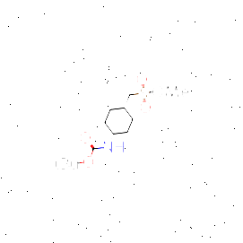 COS(=O)(=O)C[C@H]1CC[C@H](NC(=O)OC(C)(C)C)CC1